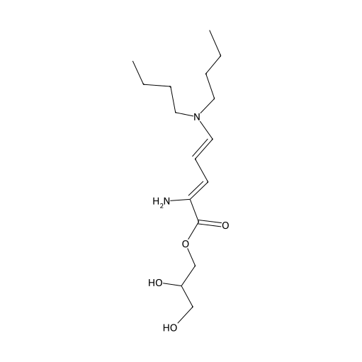 CCCCN(/C=C/C=C(\N)C(=O)OCC(O)CO)CCCC